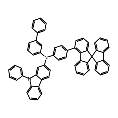 c1ccc(-c2cccc(N(c3ccc(-c4cccc5c4-c4ccccc4C54c5ccccc5-c5ccccc54)cc3)c3ccc4c5ccccc5n(-c5ccccc5)c4c3)c2)cc1